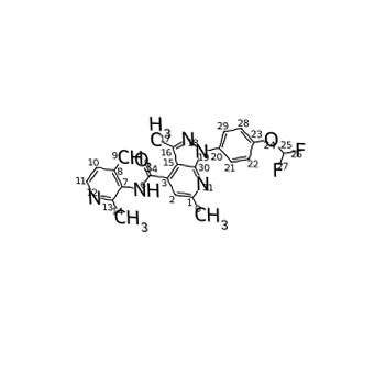 Cc1cc(C(=O)Nc2c(C)ccnc2C)c2c(C)nn(-c3ccc(OC(F)F)cc3)c2n1